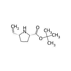 C=C[C@H]1CC[C@@H](C(=O)OC(C)(C)C)N1